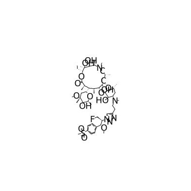 CC[C@H]1OC(=O)[C@H](C)C([C@H]2C[C@@](C)(OC)[C@@H](O)[C@H](C)O2)[C@H](C)[C@@H](O[C@@H]2O[C@H](C)C[C@H](N(C)CCc3cn([C@H](CF)[C@H](OC)c4ccc(S(C)(=O)=O)cc4)nn3)[C@H]2O)[C@](C)(O)C[C@@H](C)CN(C)[C@H](C)[C@@H](O)[C@]1(C)O